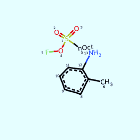 CCCCCCCCS(=O)(=O)OF.Cc1ccccc1N